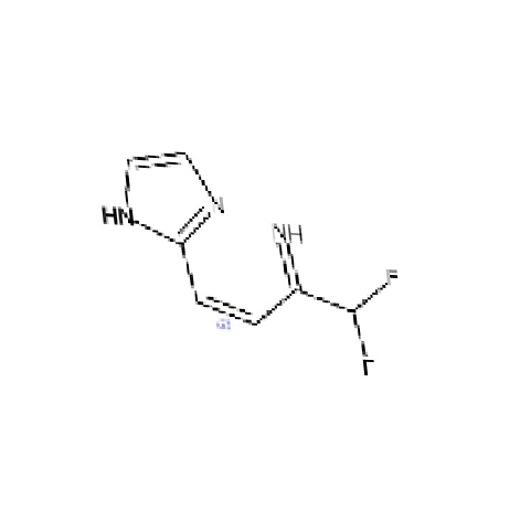 N=C(/C=C\c1ncc[nH]1)C(F)F